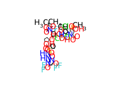 CC(C)=C1OC(=O)N(c2cc(OC3CCCC3)c(Cl)cc2F)C1=O.COc1c(Cl)ccc(Cl)c1C(=O)O.CP(=O)(O)CCC(N)C(=O)O.O=C(Nc1nc(OC(F)F)cc(OC(F)F)n1)NS(=O)(=O)c1ccccc1C(=O)O